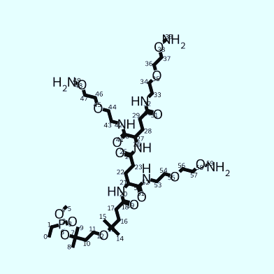 CCP(=O)(OC)OC(C)(C)CCOC(C)(C)CCC(=O)NC(CCC(=O)NC(CCC(=O)NCCOCCON)C(=O)NCCOCCON)C(=O)NCCOCCON